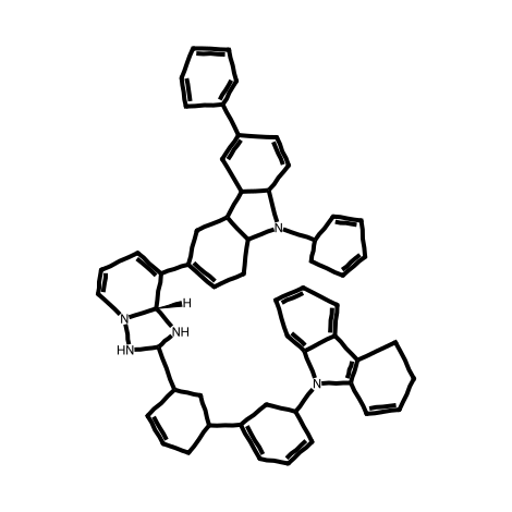 C1=CCC(N2C3C=CC(c4ccccc4)=CC3C3CC(C4=CC=CN5NC(C6C=CCC(C7=CC=CC(n8c9c(c%10ccccc%108)CCC=C9)C7)C6)N[C@@H]45)=CCC32)C=C1